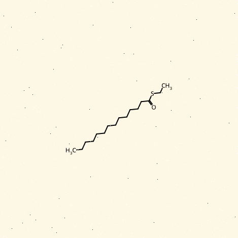 C[CH]SC(=O)CCCCCCCCCCCCC